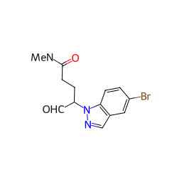 CNC(=O)CCC(C=O)n1ncc2cc(Br)ccc21